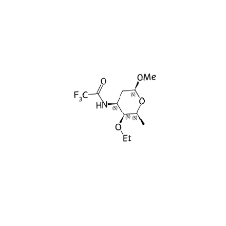 CCO[C@H]1[C@@H](NC(=O)C(F)(F)F)C[C@@H](OC)O[C@H]1C